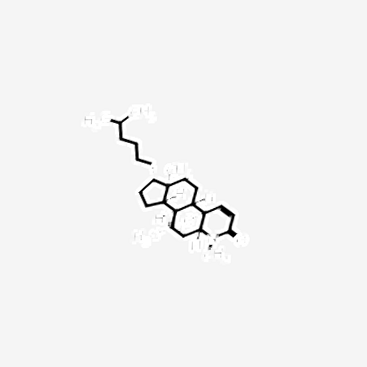 CC(C)CCCC[C@H]1CC[C@H]2[C@@H]3[C@@H](C)C[C@H]4N(C)C(=O)C=C[C@]4(C)[C@H]3CC[C@]12C